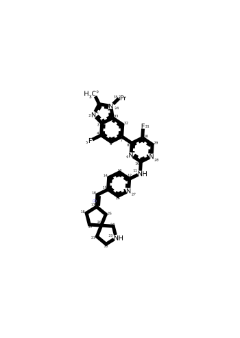 Cc1nc2c(F)cc(-c3nc(Nc4ccc(/C=C5/CCC6(CCNC6)C5)cn4)ncc3F)cc2n1C(C)C